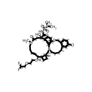 CN1CC/C=C/[C@H](OCCOCC(F)F)[C@@H]2CC[C@H]2CN2CCCCc3cc(Cl)ccc3COc3ccc(cc32)[C@@](O)(C(=O)NS(=O)(=O)N(C)C)CC1=O